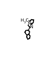 Cc1cccc2nc(-c3ccc4ccccc4c3)cn12